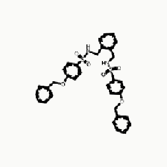 O=S(=O)(NCc1ccccc1CNS(=O)(=O)c1ccc(OCc2ccccc2)cc1)c1ccc(OCc2ccccc2)cc1